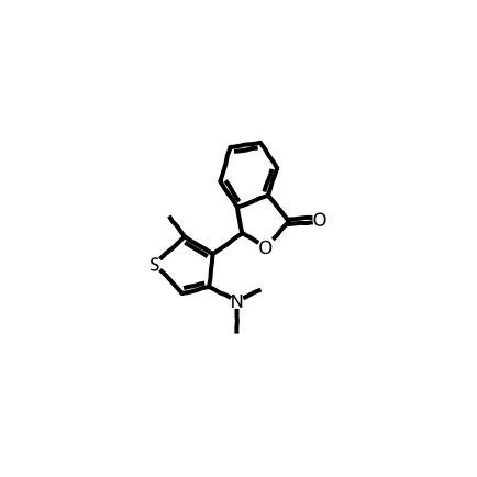 Cc1scc(N(C)C)c1C1OC(=O)c2ccccc21